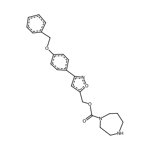 O=C(OCc1cc(-c2ccc(OCc3ccccc3)cc2)no1)N1CCCNCC1